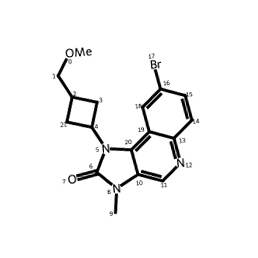 COCC1CC(n2c(=O)n(C)c3cnc4ccc(Br)cc4c32)C1